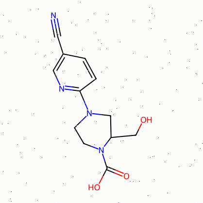 N#Cc1ccc(N2CCN(C(=O)O)C(CO)C2)nc1